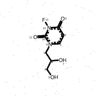 O=c1ccn(CC(O)CO)c(=O)n1F